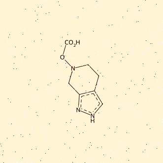 O=C(O)ON1CCc2c[nH]nc2C1